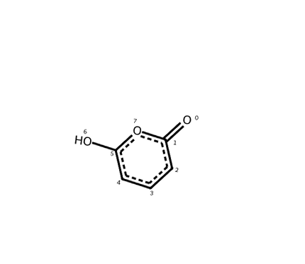 O=c1cccc(O)o1